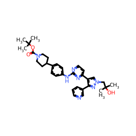 CC(C)(O)Cn1cc(-c2ccnc(Nc3ccc(C4CCN(C(=O)OC(C)(C)C)CC4)cc3)n2)c(-c2cccnc2)n1